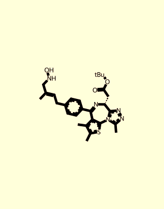 C/C(=C\Cc1ccc(C2=N[C@H](CC(=O)OC(C)(C)C)c3nnc(C)n3-c3sc(C)c(C)c32)cc1)CNO